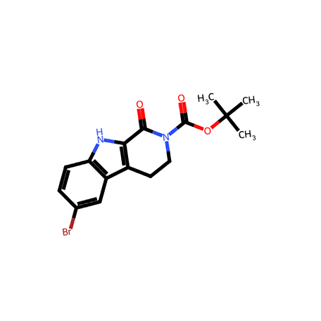 CC(C)(C)OC(=O)N1CCc2c([nH]c3ccc(Br)cc23)C1=O